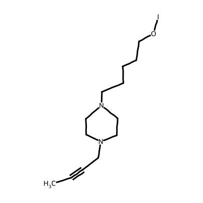 CC#CCN1CCN(CCCCCOI)CC1